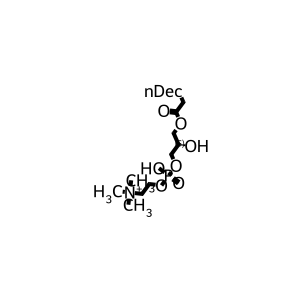 CCCCCCCCCCCC(=O)OC[C@H](O)COP(=O)(O)OCC[N+](C)(C)C